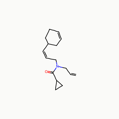 C=CCN(C/C=C\C1CC=CCC1)C(=O)C1CC1